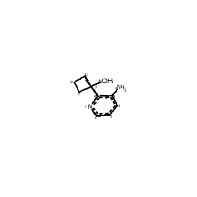 Nc1cccnc1C1(O)CCC1